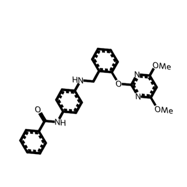 COc1cc(OC)nc(Oc2ccccc2CNc2ccc(NC(=O)c3ccccc3)cc2)n1